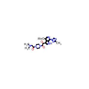 COc1cnc(-n2cnc(C)n2)c2[nH]cc(C(=O)C(=O)N3CCN(C(=O)CN(C)C)CC3)c12